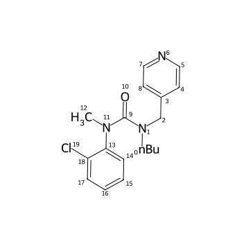 CCCCN(Cc1ccncc1)C(=O)N(C)c1ccccc1Cl